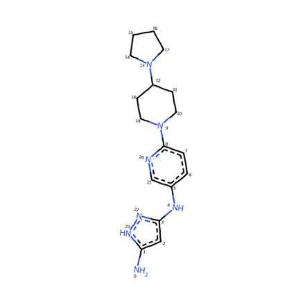 Nc1cc(Nc2ccc(N3CCC(N4CCCC4)CC3)nc2)n[nH]1